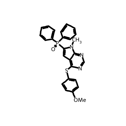 COc1ccc(Sc2ncnc3c2cc(P(=O)(c2ccccc2)c2ccccc2)n3C)cc1